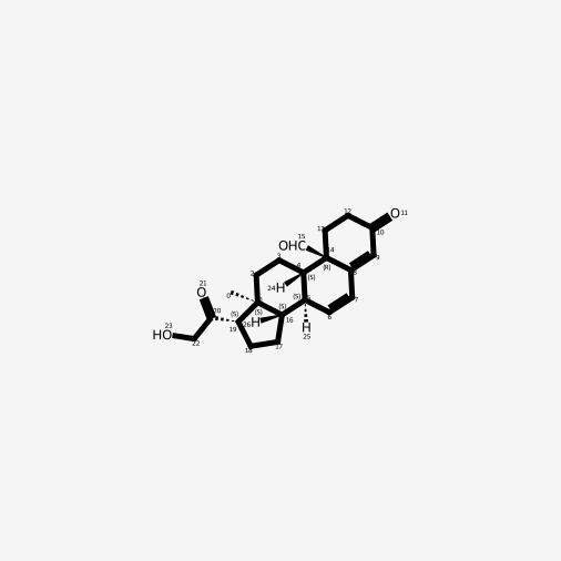 C[C@]12CC[C@H]3[C@@H](C=CC4=CC(=O)CC[C@]43C=O)[C@@H]1CC[C@@H]2C(=O)CO